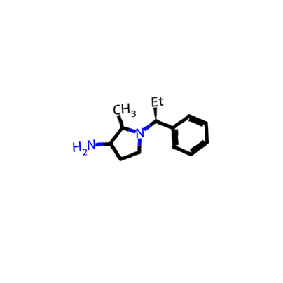 CC[C@@H](c1ccccc1)N1CCC(N)C1C